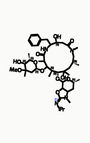 COC1(C)C[C@H](OC2C(C)C(=O)NC(Cc3ccccc3)[C@@H](O)CC(=O)N(C)C[C@H](C)CC(C)(O)[C@H](OC3O[C@H](C)CC4C3O/C(=N/C(C)C)N4C)[C@H]2C)O[C@@H](C)[C@@H]1O